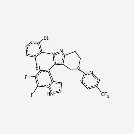 CCc1cccc(CC)c1-n1nc2c(c1-c1cc(F)c(F)c3[nH]ccc13)CN(c1ncc(C(F)(F)F)cn1)CC2